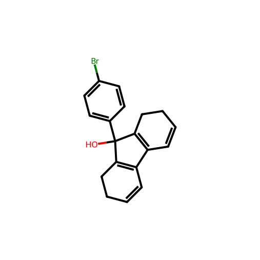 OC1(c2ccc(Br)cc2)C2=C(C=CCC2)C2=C1CCC=C2